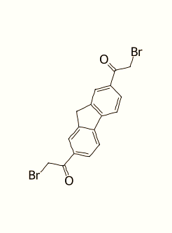 O=C(CBr)c1ccc2c(c1)Cc1cc(C(=O)CBr)ccc1-2